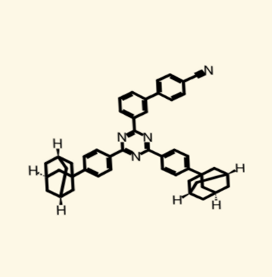 N#Cc1ccc(-c2cccc(-c3nc(-c4ccc(C56C[C@H]7C[C@@H](C5)C[C@@H](C6)C7)cc4)nc(-c4ccc(C56C[C@H]7C[C@@H](C5)C[C@@H](C6)C7)cc4)n3)c2)cc1